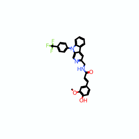 COc1cc(/C=C/C(=O)NCc2cc3c4ccccc4n(-c4ccc(C(F)(F)F)cc4)c3cn2)ccc1O